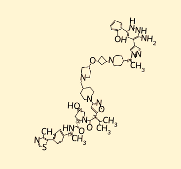 Cc1ncsc1-c1ccc([C@H](C)NC(=O)[C@@H]2C[C@@H](O)CN2C(=O)[C@@H](c2cc(N3CCC(CN4CCC(OC5CC(N6CCC([C@@H](C)n7cc(C8=C(N)NNC(c9ccccc9O)=C8)cn7)CC6)C5)CC4)CC3)no2)C(C)C)cc1